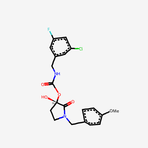 COc1ccc(CN2CC[C@](O)(OC(=O)NCc3cc(F)cc(Cl)c3)C2=O)cc1